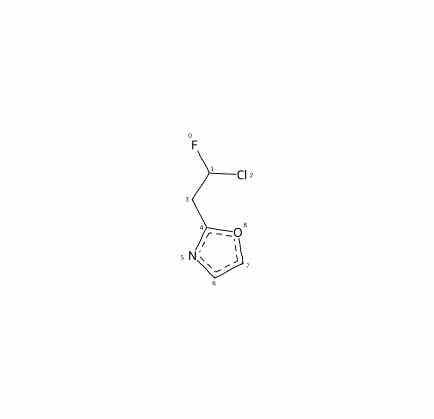 FC(Cl)Cc1ncco1